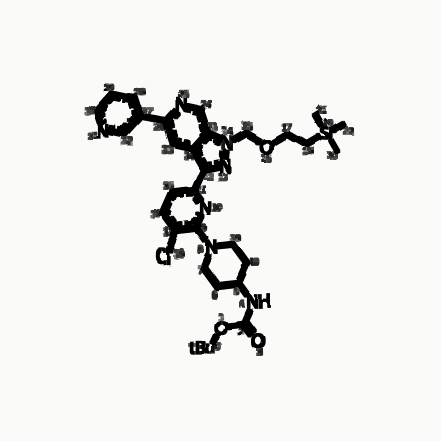 CC(C)(C)OC(=O)NC1CCN(c2nc(-c3nn(COCC[Si](C)(C)C)c4cnc(-c5cccnc5)cc34)ccc2Cl)CC1